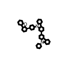 c1ccc(-n2c3ccccc3c3cc(-c4ccc5c6ccccc6n(-c6ccc(-c7cccc8c7oc7ccccc78)cc6)c5c4)ccc32)cc1